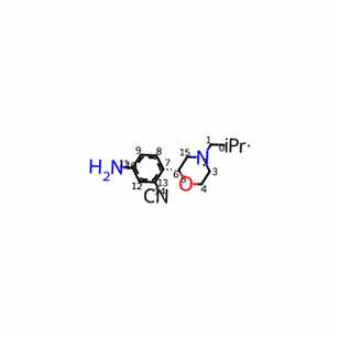 C[C](C)CN1CCO[C@H](c2ccc(N)cc2C#N)C1